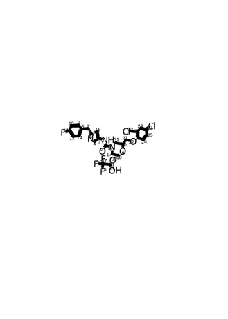 O=C(Nc1cnn(Cc2ccc(F)cc2)c1)N1CCOC(COc2ccc(Cl)cc2Cl)C1.O=C(O)C(F)(F)F